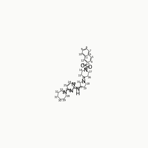 O=S(=O)(c1ccc2ccccc2c1)N1CCC(N2CCC(Nc3nccc(N4CCCCCC4)n3)C2)CC1